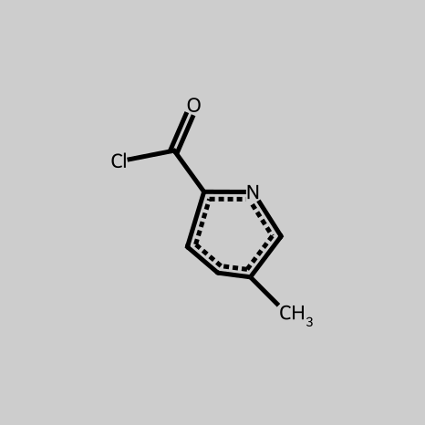 Cc1ccc(C(=O)Cl)nc1